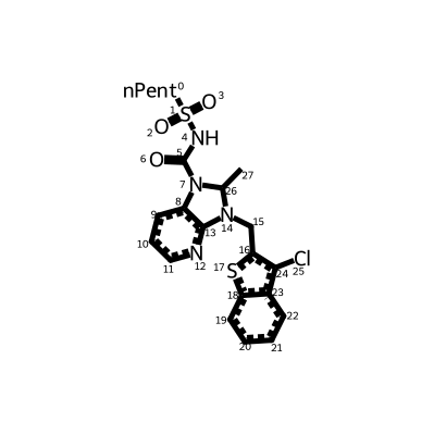 CCCCCS(=O)(=O)NC(=O)N1c2cccnc2N(Cc2sc3ccccc3c2Cl)C1C